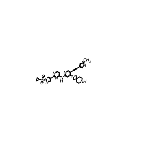 Cn1cc(C#Cc2cnc(Nc3ccnc(-c4cnn(S(=O)(=O)C5CC5)c4)n3)cc2N2CC3(CCNCC3)C2)cn1